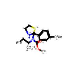 COc1ccc(C2(N(C(=O)OC(C)(C)C)[C@@H](CC(C)C)C(=O)O)NCCS2)cc1